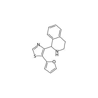 c1coc(-c2scnc2C2NCCc3ccccc32)c1